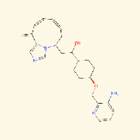 C=C1/C=C\C=C/CC(CC(O)[C@H]2CC[C@H](OCc3ncccc3N)CC2)n2cncc21